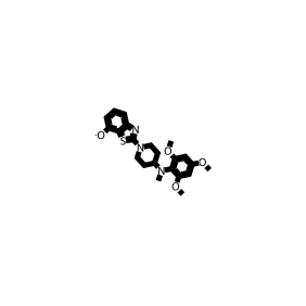 COc1cc(OC)c(N(C)C2CCN(c3nc4cccc([O])c4s3)CC2)c(OC)c1